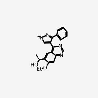 CCOc1cc2ncnc(-c3cn(C)nc3-c3ccccc3)c2cc1[C@H](C)O